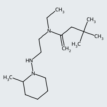 C=C(CC(C)(C)C)N(CC)CCNN1CCCCC1C